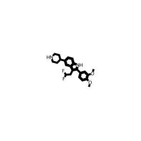 COc1ccc(-c2[nH]c3ccc(C4CCNCC4)cc3c2CC(F)F)cc1OC